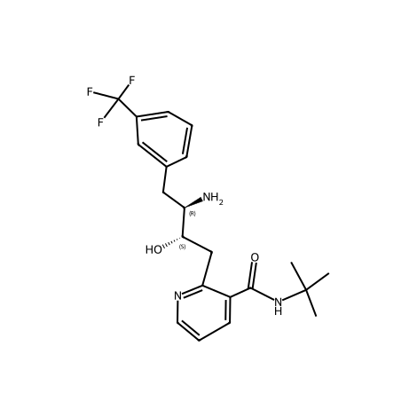 CC(C)(C)NC(=O)c1cccnc1C[C@H](O)[C@H](N)Cc1cccc(C(F)(F)F)c1